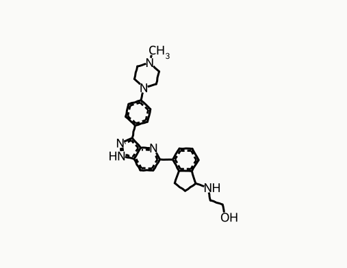 CN1CCN(c2ccc(-c3n[nH]c4ccc(-c5cccc6c5CCC6NCCO)nc34)cc2)CC1